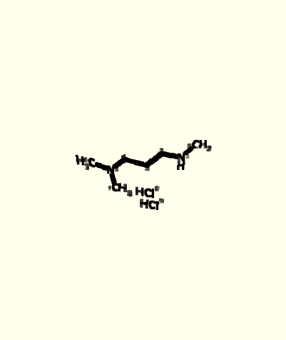 CNCCCN(C)C.Cl.Cl